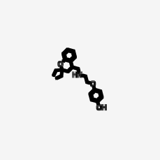 CCC1(CC)CC(CNCCOc2ccc(O)cc2)c2ccccc2O1